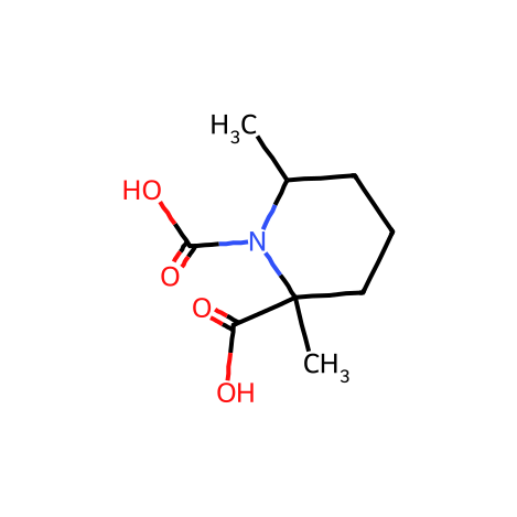 CC1CCCC(C)(C(=O)O)N1C(=O)O